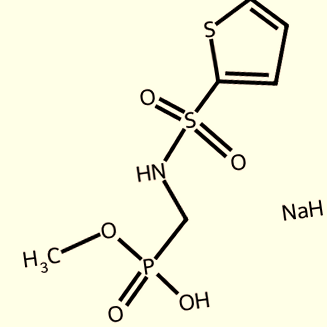 COP(=O)(O)CNS(=O)(=O)c1cccs1.[NaH]